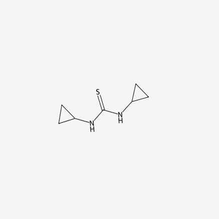 S=C(NC1CC1)NC1CC1